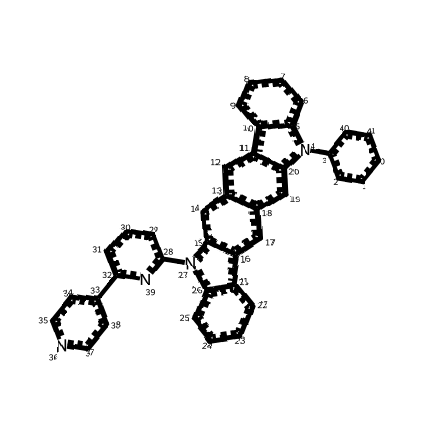 c1ccc(-n2c3ccccc3c3cc4cc5c(cc4cc32)c2ccccc2n5-c2cccc(-c3ccncc3)n2)cc1